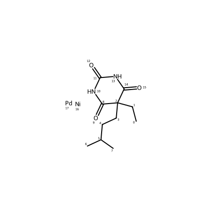 CCC1(CCC(C)C)C(=O)NC(=O)NC1=O.[Ni].[Pd]